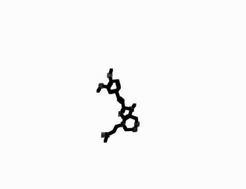 CNCCN1COOCc2c1nc(C#Cc1ccc(OC)c(OC)c1)n2C